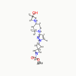 Cc1cc(N2CCC(N3CC(C)(O)C3)CC2(C)C)nn1C1CC2(C1)CN(C(=O)OC(C)(C)C)C2